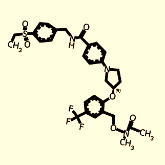 CCS(=O)(=O)c1ccc(CNC(=O)c2ccc(N3CC[C@@H](Oc4ccc(C(F)(F)F)cc4CON(C)C(C)=O)C3)cc2)cc1